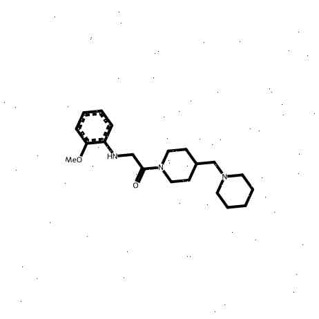 COc1ccccc1NCC(=O)N1CCC(CN2CCCCC2)CC1